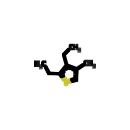 CCc1scc(C)c1CC